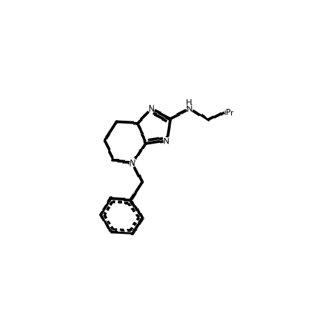 CC(C)CNC1=NC2CCCN(Cc3ccccc3)C2=N1